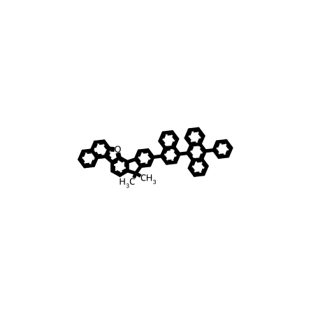 CC1(C)c2cc(-c3ccc(-c4c5ccccc5c(-c5ccccc5)c5ccccc45)c4ccccc34)ccc2-c2c1ccc1c2oc2ccc3ccccc3c21